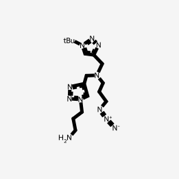 CC(C)(C)n1cc(CN(CCCN=[N+]=[N-])Cc2cn(CCCN)nn2)nn1